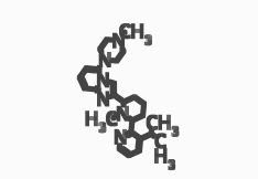 CC(C)c1cccnc1C1CCCC(c2cn3c(N4CCN(C)CC4)cccc3n2)N1C